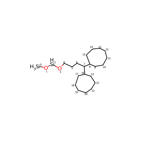 [SiH3]O[SiH]OCCCC(C1CCCCCCC1)C1CCCCCCC1